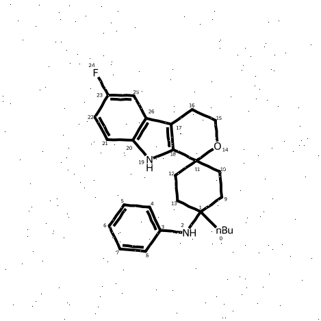 CCCCC1(Nc2ccccc2)CCC2(CC1)OCCc1c2[nH]c2ccc(F)cc12